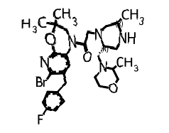 CC1COCCN1C[C@H]1CN[C@H](C)CN1CC(=O)N1CC(C)(C)Oc2nc(Br)c(Cc3ccc(F)cc3)cc21